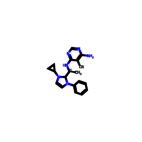 C[C@H](Nc1ncnc(N)c1C#N)C1N(c2ccccc2)C=CN1C1CC1